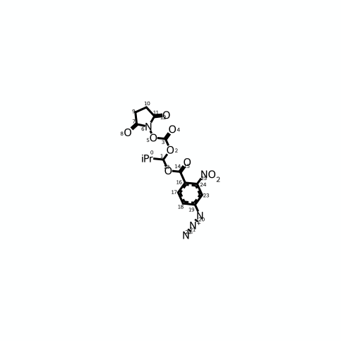 CC(C)C(OC(=O)ON1C(=O)CCC1=O)OC(=O)c1ccc(N=[N+]=[N-])cc1[N+](=O)[O-]